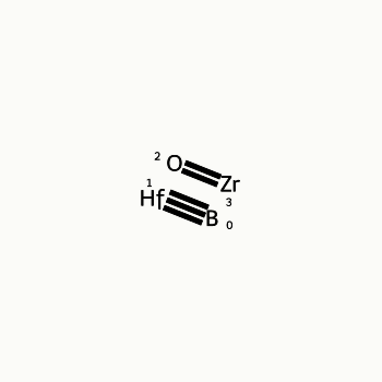 [B]#[Hf].[O]=[Zr]